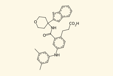 Cc1cc(C)cc(Nc2ccc(CCC(=O)O)c(C(=O)NC3(c4cc5ccccc5s4)CCOCC3)c2)c1